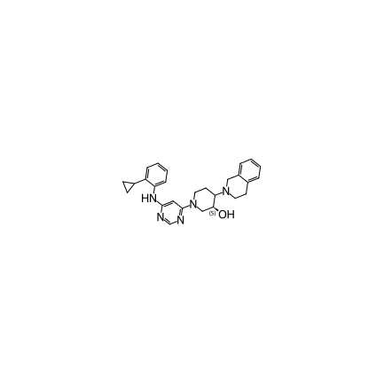 O[C@H]1CN(c2cc(Nc3ccccc3C3CC3)ncn2)CCC1N1CCc2ccccc2C1